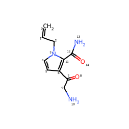 C=CCn1ccc(C(=O)CN)c1C(N)=O